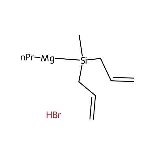 Br.C=CC[Si](C)(CC=C)[Mg][CH2]CC